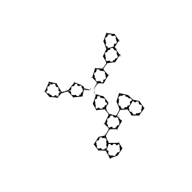 c1ccc(-c2ccc(N(c3ccc(-c4ccc5ccccc5c4)cc3)c3ccc(-c4cc(-c5cccc6ccccc56)ccc4-c4cccc5ccccc45)cc3)cc2)cc1